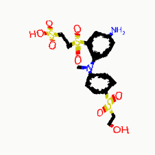 CN(c1ccc(S(=O)(=O)CCO)cc1)c1ccc(N)cc1S(=O)(=O)CCS(=O)(=O)O